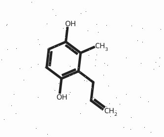 C=CCc1c(O)ccc(O)c1C